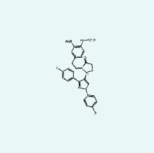 CNc1cc(CCN2C(=O)CO[C@H]2c2cn(-c3ccc(Br)cc3)nc2-c2ccc(F)cc2)ccc1NC=O